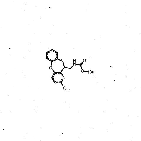 Cc1ccc2c(n1)C(CNC(=O)OC(C)(C)C)Cc1ccccc1O2